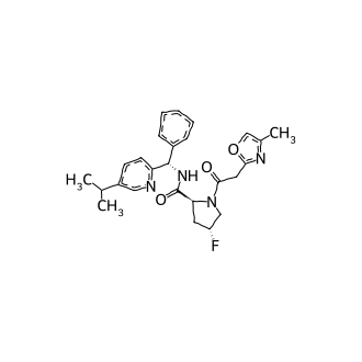 Cc1coc(CC(=O)N2C[C@H](F)C[C@H]2C(=O)N[C@@H](c2ccccc2)c2ccc(C(C)C)cn2)n1